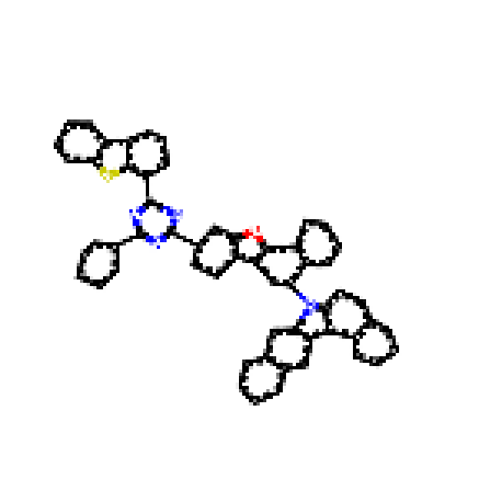 c1ccc(-c2nc(-c3ccc4c(c3)oc3c5ccccc5c(-n5c6cc7ccccc7cc6c6c7ccccc7ccc65)cc43)nc(-c3cccc4c3sc3ccccc34)n2)cc1